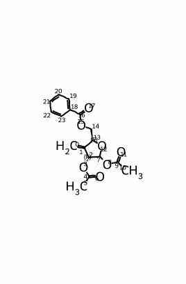 C=C1[C@@H](OC(C)=O)C(OC(C)=O)O[C@@H]1COC(=O)c1ccccc1